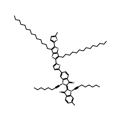 CCCCCCC#CN1/C(=C2\C(=O)c3ccc(-c4ccc(-c5sc6c(CCCCCCCCCCCCCC)c(-c7ccc(C)s7)sc6c5CCCCCCCCCCCCCC)s4)cc3N2C#CCCCCCC)C(=O)c2ccc(C)cc21